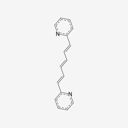 C(=CC=Cc1ccccn1)C=Cc1ccccn1